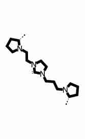 C[C@H]1CCCN1CCCN1[C]N(CCN2CCC[C@@H]2C)CC1